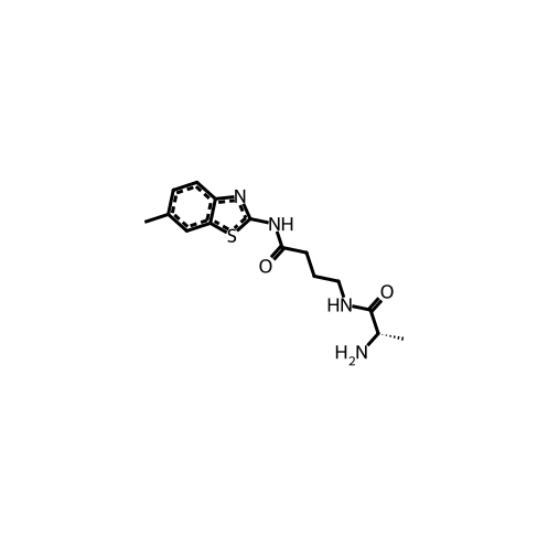 Cc1ccc2nc(NC(=O)CCCNC(=O)[C@H](C)N)sc2c1